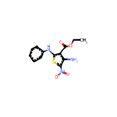 CCOC(=O)c1c(Nc2ccccc2)sc([N+](=O)[O-])c1N